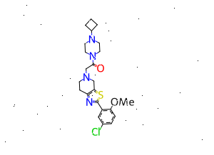 COc1ccc(Cl)cc1-c1nc2c(s1)CN(CC(=O)N1CCN(C3CCC3)CC1)CC2